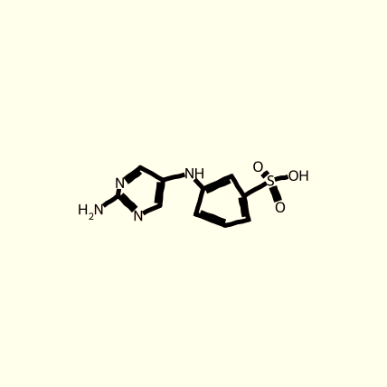 Nc1ncc(Nc2cccc(S(=O)(=O)O)c2)cn1